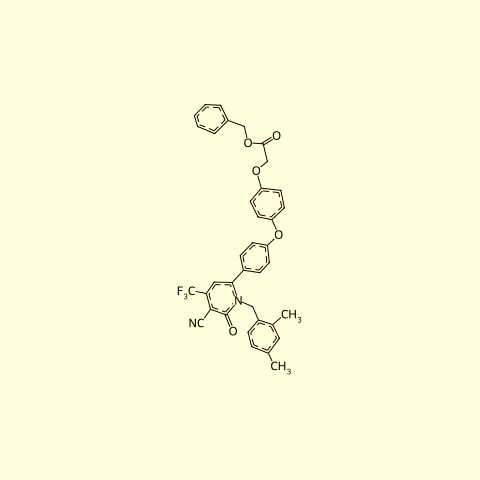 Cc1ccc(Cn2c(-c3ccc(Oc4ccc(OCC(=O)OCc5ccccc5)cc4)cc3)cc(C(F)(F)F)c(C#N)c2=O)c(C)c1